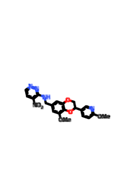 COc1ccc(C2COc3cc(CNc4nnccc4[N+](=O)[O-])cc(OC)c3O2)cn1